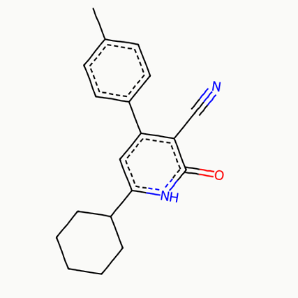 Cc1ccc(-c2cc(C3CCCCC3)[nH]c(=O)c2C#N)cc1